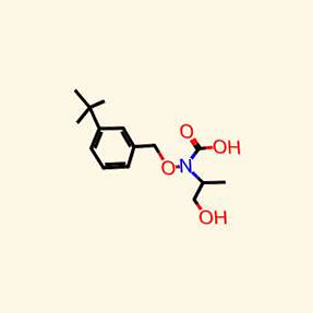 CC(CO)N(OCc1cccc(C(C)(C)C)c1)C(=O)O